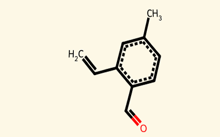 C=Cc1cc(C)ccc1C=O